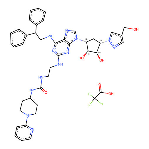 O=C(NCCNc1nc(NCC(c2ccccc2)c2ccccc2)c2ncn([C@@H]3C[C@H](n4cc(CO)cn4)[C@@H](O)[C@H]3O)c2n1)NC1CCN(c2ccccn2)CC1.O=C(O)C(F)(F)F